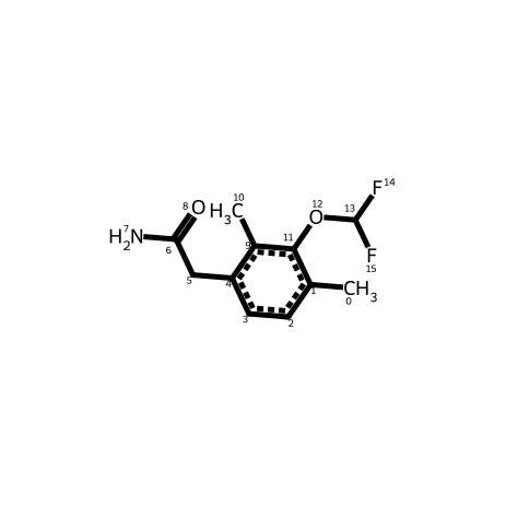 Cc1ccc(CC(N)=O)c(C)c1OC(F)F